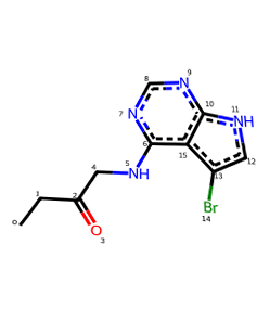 CCC(=O)CNc1ncnc2[nH]cc(Br)c12